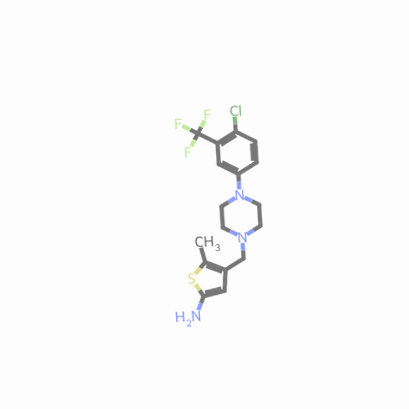 Cc1sc(N)cc1CN1CCN(c2ccc(Cl)c(C(F)(F)F)c2)CC1